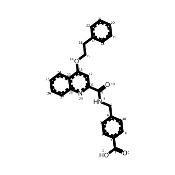 O=C(O)c1ccc(CNC(=O)c2cc(OCCc3ccccc3)c3ccccc3n2)cc1